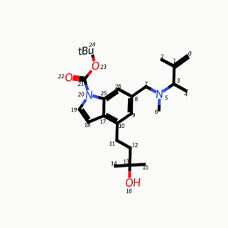 C=C(C)C(C)N(C)Cc1cc(CCC(C)(C)O)c2ccn(C(=O)OC(C)(C)C)c2c1